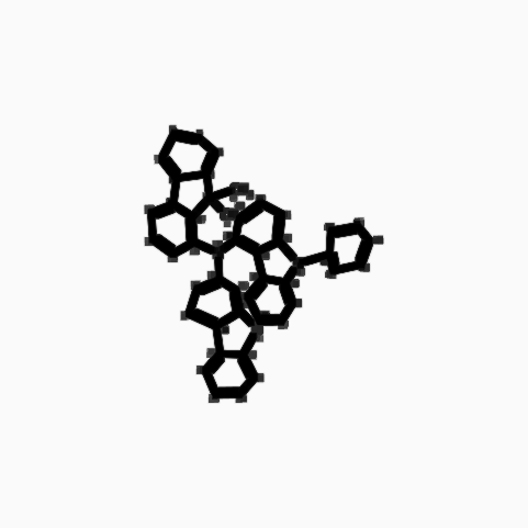 CC1(C)c2ccccc2-c2cccc(N(c3ccc4c(c3)oc3ccccc34)c3cccc4c3c3ccccc3n4-c3ccccc3)c21